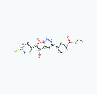 CCOC(=O)c1cccc(-c2cnc3oc(-c4ccc(F)cc4)c(Br)c3c2)c1